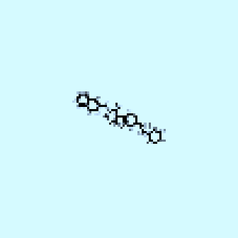 O=c1c2c3c(sc2ncn1Cc1ccc2ccccc2c1)CC(NCC1CCCCC1)CC3